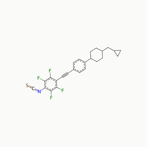 Fc1c(F)c(N=C=S)c(F)c(F)c1C#Cc1ccc(C2CCC(CC3CC3)CC2)cc1